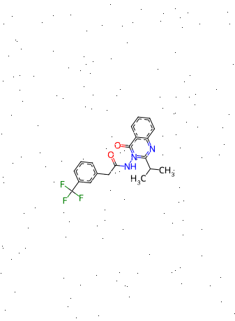 CC(C)c1nc2ccccc2c(=O)n1NC(=O)Cc1cccc(C(F)(F)F)c1